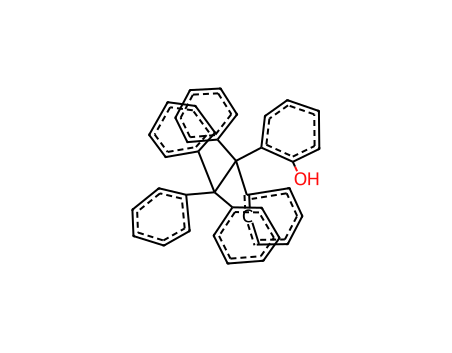 Oc1ccccc1C(c1ccccc1)(c1ccccc1)C(c1ccccc1)(c1ccccc1)c1ccccc1